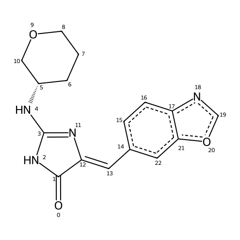 O=C1NC(N[C@H]2CCCOC2)=N/C1=C\c1ccc2ncoc2c1